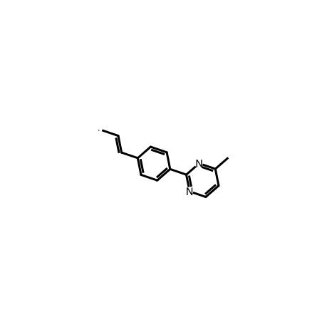 [CH2]/C=C/c1ccc(-c2nccc(C)n2)cc1